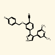 Cc1cc(-c2c[nH]nc2-c2ccc(C#N)c(OCc3ccc(F)cc3)c2)cc(C)n1